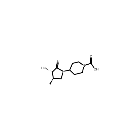 C[C@@H]1CN(C2CCN(C(=O)O)CC2)C(=O)[C@H]1O